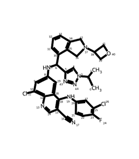 CC(C)n1cc(C(Nc2cc(Cl)c3ncc(C#N)c(Nc4ccc(F)c(Cl)c4)c3c2)c2cccc3c2CN(C2COC2)C3)nn1